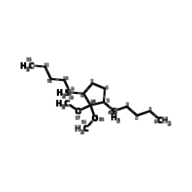 CCCC[SiH2]C1CCC([SiH2]CCCC)C1(OC)OC